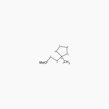 COCCC1(C)CCCC1